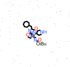 CC(C)COC(=O)N=CN1CCOC(=NC(CC2CCCCCC2)C(=O)NC2(C#N)CCNCC2)C1